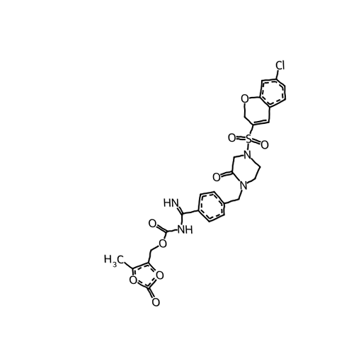 Cc1oc(=O)oc1COC(=O)NC(=N)c1ccc(CN2CCN(S(=O)(=O)C3=Cc4ccc(Cl)cc4OC3)CC2=O)cc1